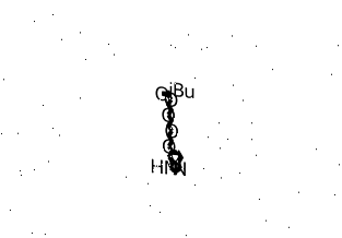 CCC(C)C(=O)OCCOCCOCCOc1ccc2nc[nH]c2c1